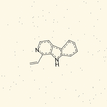 C=Cc1nccc2c1[nH]c1ccccc12